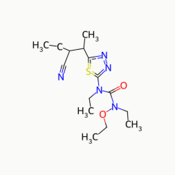 CCON(CC)C(=O)N(CC)c1nnc(C(C)C(C#N)CC)s1